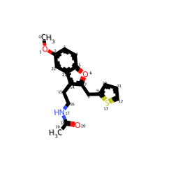 COc1ccc2oc(Cc3cccs3)c(CCNC(C)=O)c2c1